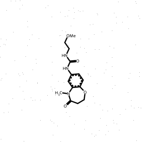 COCCNC(=O)Nc1ccc2c(c1)N(C)C(=O)CCO2